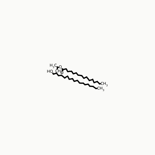 CCCCCCCCCCCCCCCC(=O)OC(C)C.CCCCCCCCCCCCCCCCCCO